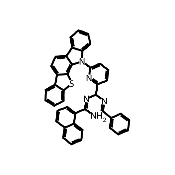 N/C(=N\C(/N=C/c1ccccc1)c1cccc(-n2c3ccccc3c3ccc4c5ccccc5sc4c32)n1)c1cccc2ccccc12